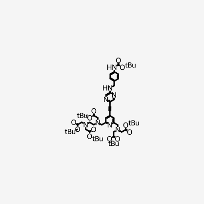 CC(C)(C)OC(=O)CN(CCN(CC(=O)OC(C)(C)C)Cc1cc(C#Cc2cnc(NCc3ccc(NC(=O)OC(C)(C)C)cc3)cn2)cc(CN(CC(=O)OC(C)(C)C)CC(=O)OC(C)(C)C)n1)CC(=O)OC(C)(C)C